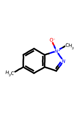 Cc1ccc2c(c1)C=N[N+]2(C)[O-]